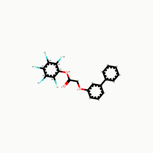 O=C(COc1cccc(-c2ccccc2)c1)Oc1c(F)c(F)c(F)c(F)c1F